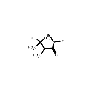 CCN(CC)C(=O)C(C(=O)O)C(C)(C)C(=O)O